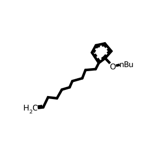 C=CCCCCCCCCc1ccccc1OCCCC